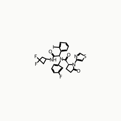 O=C(NC1CC(F)(F)C1)[C@H](c1ccccc1I)N(C(=O)[C@@H]1CCC(=O)N1c1cscn1)c1cccc(F)c1